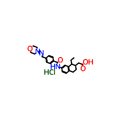 CCC1c2cc(NC(=O)c3ccc(C=NN4CCOCC4)cc3)ccc2CCC1CC(=O)O.Cl